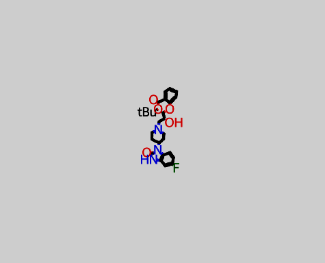 CC(C)(C)OC(=O)c1ccccc1OCC(O)CN1CCC(n2c(=O)[nH]c3cc(F)ccc32)CC1